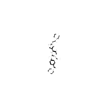 COc1cc(C(=O)N2CCOCC2)ccc1Nc1ncc(Cl)c(-c2cnn(CCN3CCOCC3)c2)n1